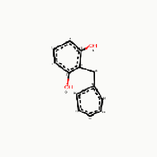 Oc1cccc(O)c1Cc1ccccc1